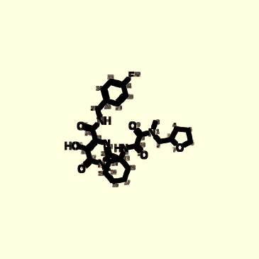 CN(CC1CCCO1)C(=O)C(=O)NC12CCC(CC1)Cn1c2nc(C(=O)NCc2ccc(F)cc2)c(O)c1=O